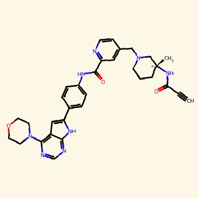 C#CC(=O)N[C@]1(C)CCCN(Cc2ccnc(C(=O)Nc3ccc(-c4cc5c(N6CCOCC6)ncnc5[nH]4)cc3)c2)C1